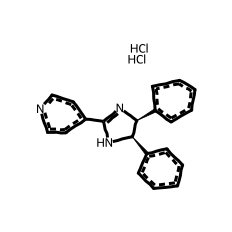 Cl.Cl.c1ccc([C@H]2NC(c3ccncc3)=N[C@H]2c2ccccc2)cc1